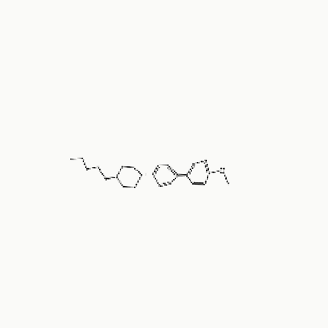 CCCCC[C@H]1CC[C@H](c2ccc(-c3ccc(OC)cc3)cc2)CC1